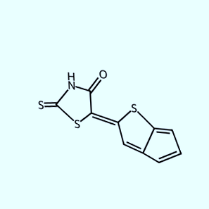 O=C1NC(=S)SC1=c1cc2c(s1)=CC=C2